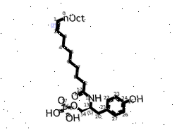 CCCCCCCC/C=C\CCCCCCCC(=O)N[C@H](COP(=O)(O)O)Cc1ccc(O)cc1